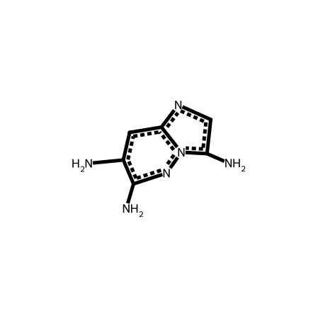 Nc1cc2ncc(N)n2nc1N